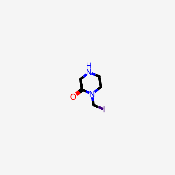 O=C1CNCCN1CI